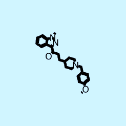 COc1ccc(CN2CCC(CCC(=O)c3nn(C)c4ccccc34)CC2)cc1